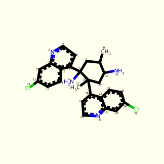 CC1CC(N)(c2ccnc3cc(Cl)ccc23)C(C)(c2ccnc3cc(Cl)ccc23)CC1N